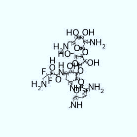 CNC[C@@H]1C=C[C@@H](N)[C@@H](O[C@H]2[C@H](O[C@@H]3O[C@H](CO)[C@@H](O[C@H]4O[C@@H](CN)[C@@H](O)[C@H](O)[C@H]4N)[C@H]3O)[C@@H](O)[C@H](NC(=O)[C@@H](O)C(F)(F)CN)C[C@@H]2N)O1